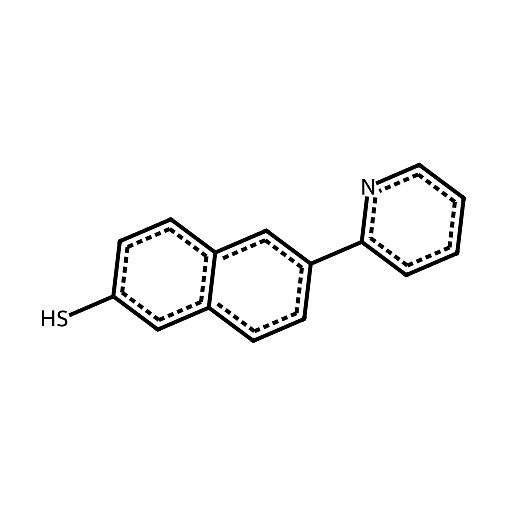 Sc1ccc2cc(-c3ccccn3)ccc2c1